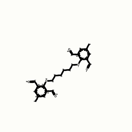 Cc1cc(C=O)c(OCCCCCCOc2c(C=O)cc(C)cc2C=O)c(C=O)c1